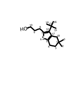 CC1(C)CCc2sc(CCCO)c(C(C)(C)C)c2C1